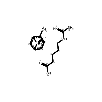 Cc1ccc2cc1S2(=O)=O.N=C(N)NCCCCC(=O)O